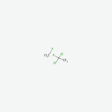 FC(Cl)(Cl)Cl.FC(F)(F)C(F)(Cl)Cl